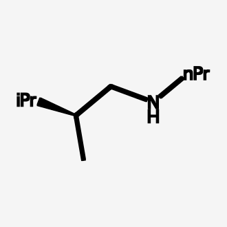 CCCNC[C@@H](C)C(C)C